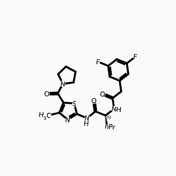 CCC[C@H](NC(=O)Cc1cc(F)cc(F)c1)C(=O)Nc1nc(C)c(C(=O)N2CCCC2)s1